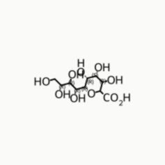 O=C(O)C1O[C@H]([C@H](O)[C@H](O)[C@H](O)CO)[C@H](O)[C@H](O)[C@H]1O